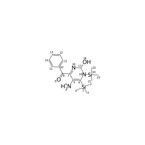 C[Si](C)(C)C1=C(N)C(C(=O)c2ccccc2)=NC(O)N1[Si](C)(C)C